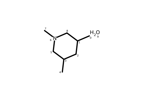 CC1CC(C)CN(C)C1.O